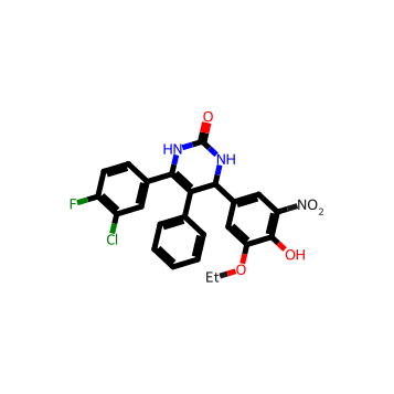 CCOc1cc(C2NC(=O)NC(c3ccc(F)c(Cl)c3)=C2c2ccccc2)cc([N+](=O)[O-])c1O